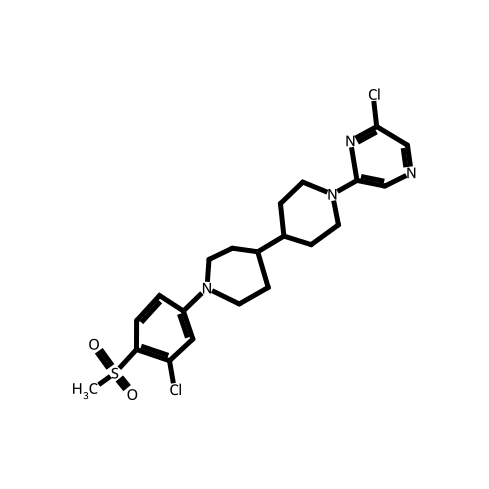 CS(=O)(=O)c1ccc(N2CCC(C3CCN(c4cncc(Cl)n4)CC3)CC2)cc1Cl